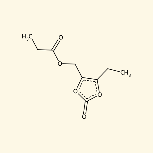 CCC(=O)OCc1oc(=O)oc1CC